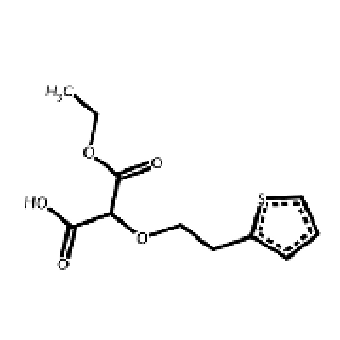 CCOC(=O)C(OCCc1cccs1)C(=O)O